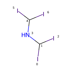 IC(I)NC(I)I